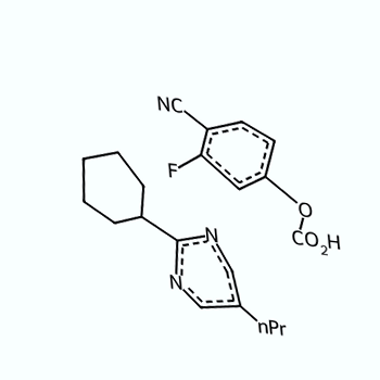 CCCc1cnc(C2CCCCC2)nc1.N#Cc1ccc(OC(=O)O)cc1F